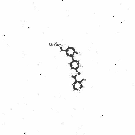 COOCc1ccc(Cl)c(-c2ccc(NC(=O)c3ccncc3C)nc2)c1